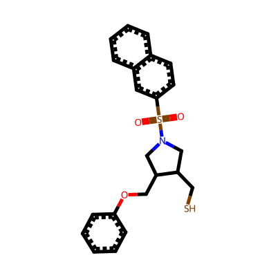 O=S(=O)(c1ccc2ccccc2c1)N1CC(CS)C(COc2ccccc2)C1